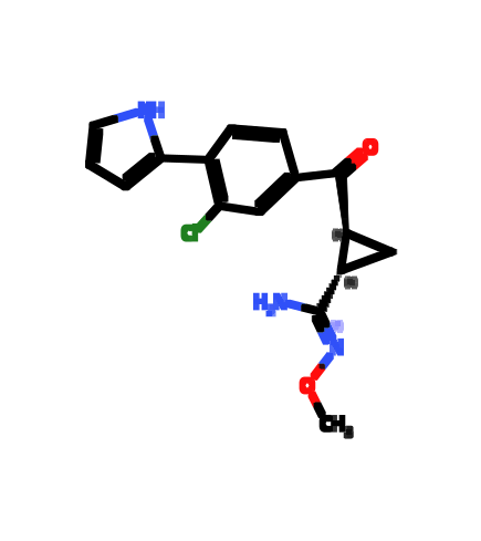 CO/N=C(\N)[C@H]1C[C@@H]1C(=O)c1ccc(-c2ccc[nH]2)c(Cl)c1